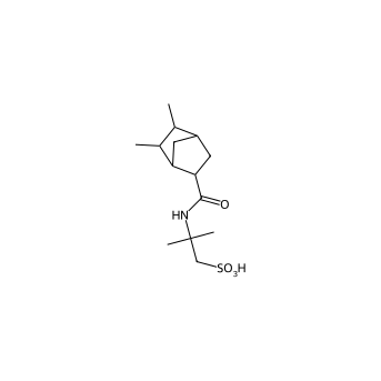 CC1C2CC(C(=O)NC(C)(C)CS(=O)(=O)O)C(C2)C1C